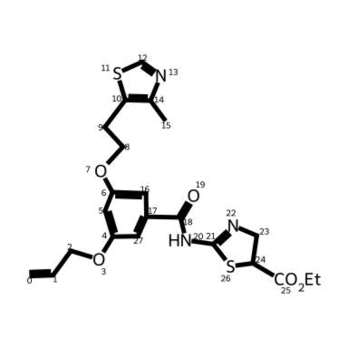 C=CCOc1cc(OCCc2scnc2C)cc(C(=O)NC2=NCC(C(=O)OCC)S2)c1